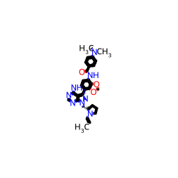 CC=CN1CCC[C@H]1Cn1nc(-c2ccc(NC(=O)c3ccc(N(C)C)cc3)c3c2OCO3)c2c(N)ncnc21